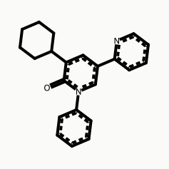 O=c1c(C2CCCCC2)cc(-c2ccccn2)cn1-c1ccccc1